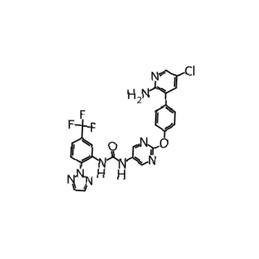 Nc1ncc(Cl)cc1-c1ccc(Oc2ncc(NC(=O)Nc3cc(C(F)(F)F)ccc3-n3nccn3)cn2)cc1